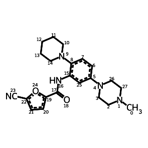 CN1CCN(c2ccc(N3CCCCC3)c(NC(=O)c3ccc(C#N)o3)c2)CC1